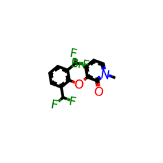 Cn1ccc(Br)c(Oc2c(C(F)F)cccc2C(F)F)c1=O